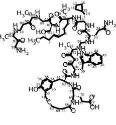 CCC/C=C/CCC[C@](C)(NC(=O)[C@H](CC1CCC1)NC(=O)[C@H](CCC(N)=O)NCN[C@@H](C)C(=O)CC(=O)[C@H](Cc1c[nH]c2ccccc12)NC(=O)[C@@H]1Cc2ccc(O)c(c2)CCCCCC(=O)N[C@@H](CCC(=O)O)C(=O)N1)C(=O)N[C@@H](CO)C(=O)CN[C@@H](C)C(=O)CCN[C@@H](C)C(=O)CN